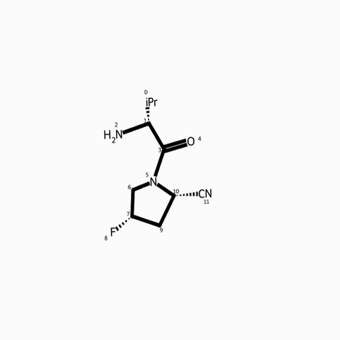 CC(C)[C@@H](N)C(=O)N1C[C@@H](F)C[C@H]1C#N